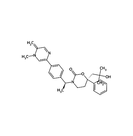 C=C1C=NC(c2ccc([C@H](C)N3CC[C@](CC(C)(C)O)(c4ccccc4)OC3=O)cc2)=CN1C